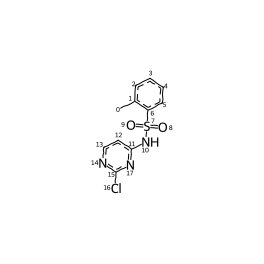 Cc1ccccc1S(=O)(=O)Nc1ccnc(Cl)n1